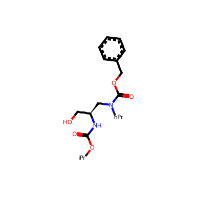 CCCN(C[C@H](CO)NC(=O)OC(C)C)C(=O)OCc1ccccc1